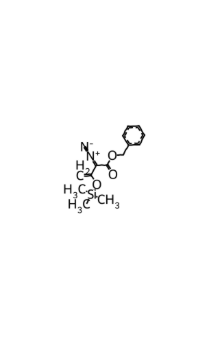 C=C(O[Si](C)(C)C)C(=[N+]=[N-])C(=O)OCc1ccccc1